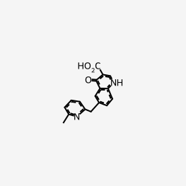 Cc1cccc(Cc2ccc3[nH]cc(C(=O)O)c(=O)c3c2)n1